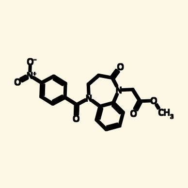 COC(=O)CN1C(=O)CCN(C(=O)c2ccc([N+](=O)[O-])cc2)c2ccccc21